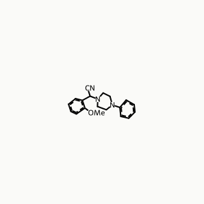 COc1ccccc1C(C#N)N1CCN(c2ccccc2)CC1